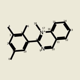 Cc1cc(C)c(C)c(-c2ncc3ccccc3[n+]2C)c1